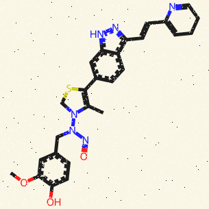 COc1cc(CN(N=O)N2CSC(c3ccc4c(/C=C/C5=CCCC=N5)n[nH]c4c3)=C2C)ccc1O